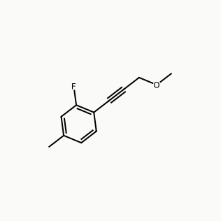 COCC#Cc1ccc(C)cc1F